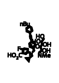 CCCCc1ccc(C#Cc2ccc(CN(CC3CC3)c3ccc(F)c(C(=O)O)c3)cc2)cc1.CNC[C@H](O)[C@@H](O)[C@H](O)[C@H](O)CO